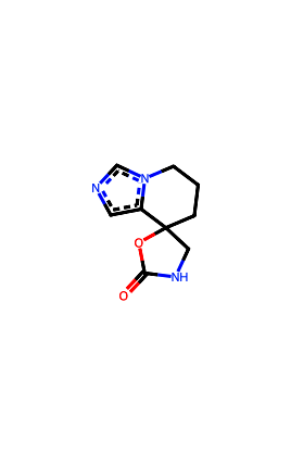 O=C1NCC2(CCCn3cncc32)O1